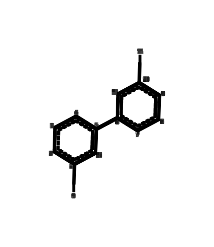 Ic1cccc(-c2cccc(I)c2)c1